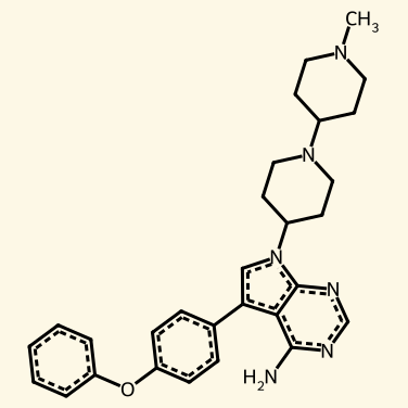 CN1CCC(N2CCC(n3cc(-c4ccc(Oc5ccccc5)cc4)c4c(N)ncnc43)CC2)CC1